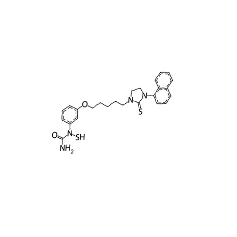 NC(=O)N(S)c1cccc(OCCCCCN2CCN(c3cccc4ccccc34)C2=S)c1